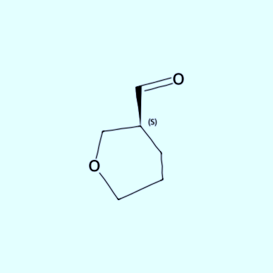 O=C[C@H]1CCCOC1